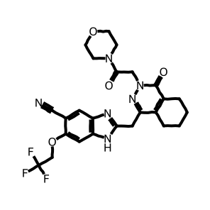 N#Cc1cc2nc(Cc3nn(CC(=O)N4CCOCC4)c(=O)c4c3CCCC4)[nH]c2cc1OCC(F)(F)F